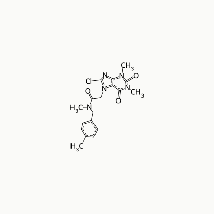 Cc1ccc(CN(C)C(=O)Cn2c(Cl)nc3c2c(=O)n(C)c(=O)n3C)cc1